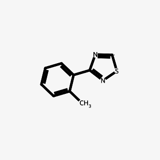 Cc1ccccc1-c1n[c]sn1